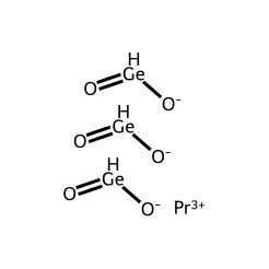 [O]=[GeH][O-].[O]=[GeH][O-].[O]=[GeH][O-].[Pr+3]